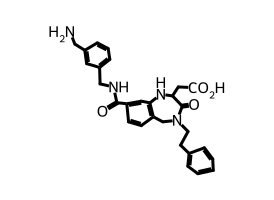 NCc1cccc(CNC(=O)c2ccc3c(c2)NC(CC(=O)O)C(=O)N(CCc2ccccc2)C3)c1